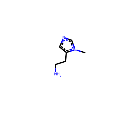 Cn1cncc1CCN